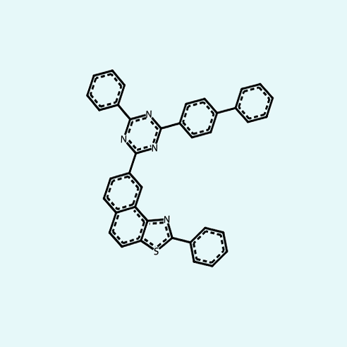 c1ccc(-c2ccc(-c3nc(-c4ccccc4)nc(-c4ccc5ccc6sc(-c7ccccc7)nc6c5c4)n3)cc2)cc1